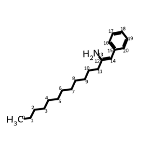 CCCCCCCCCCCCC(N)=Cc1ccccc1